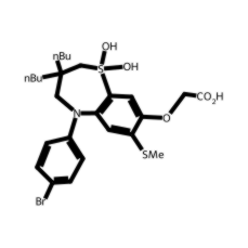 CCCCC1(CCCC)CN(c2ccc(Br)cc2)c2cc(SC)c(OCC(=O)O)cc2S(O)(O)C1